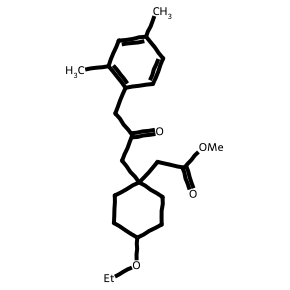 CCOC1CCC(CC(=O)Cc2ccc(C)cc2C)(CC(=O)OC)CC1